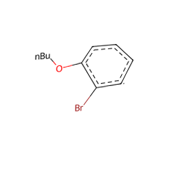 CCCCOc1ccc[c]c1Br